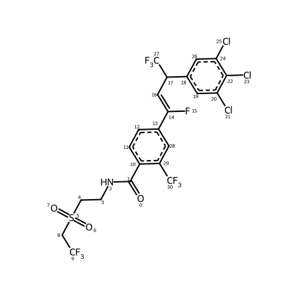 O=C(NCCS(=O)(=O)CC(F)(F)F)c1ccc(/C(F)=C/C(c2cc(Cl)c(Cl)c(Cl)c2)C(F)(F)F)cc1C(F)(F)F